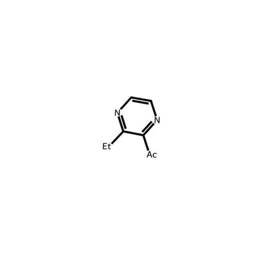 CCc1nccnc1C(C)=O